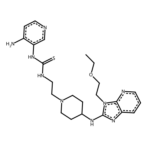 CCOCCn1c(NC2CCN(CCNC(=S)Nc3cnccc3N)CC2)nc2cccnc21